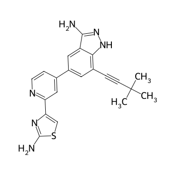 CC(C)(C)C#Cc1cc(-c2ccnc(-c3csc(N)n3)c2)cc2c(N)n[nH]c12